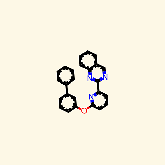 c1ccc(-c2cccc(Oc3cccc(-c4ncc5ccccc5n4)n3)c2)cc1